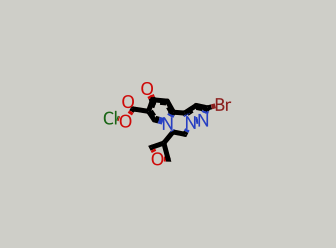 O=C(OCl)c1cn2c(cc1=O)-c1cc(Br)nn1CC2C1COC1